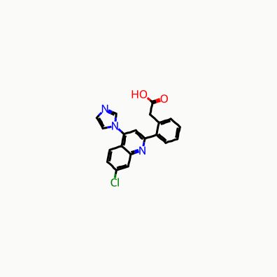 O=C(O)Cc1ccccc1-c1cc(-n2ccnc2)c2ccc(Cl)cc2n1